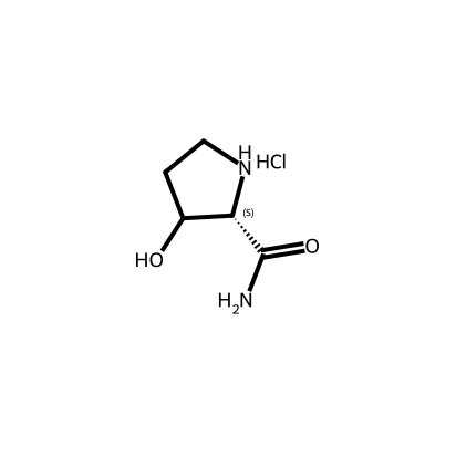 Cl.NC(=O)[C@H]1NCCC1O